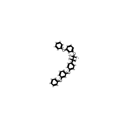 FC(F)(Oc1cccc(Oc2ccccc2)c1)C(F)(F)c1ccc(Oc2cccc(Oc3ccccc3)c2)cc1